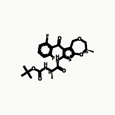 C[C@H](NC(=O)OC(C)(C)C)C(=O)Nc1sc2c(c1C(=O)c1c(F)cccc1F)COC[C@H](C)O2